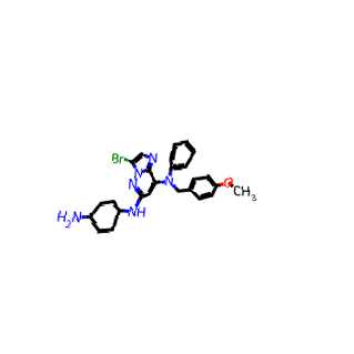 COc1ccc(CN(c2ccccc2)c2cc(NC3CCC(N)CC3)nn3c(Br)cnc23)cc1